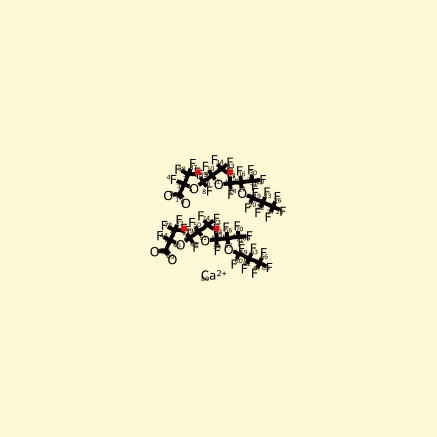 O=C([O-])C(F)(OC(F)(F)C(F)(OC(F)(F)C(F)(OC(F)(F)C(F)(F)C(F)(F)F)C(F)(F)F)C(F)(F)F)C(F)(F)F.O=C([O-])C(F)(OC(F)(F)C(F)(OC(F)(F)C(F)(OC(F)(F)C(F)(F)C(F)(F)F)C(F)(F)F)C(F)(F)F)C(F)(F)F.[Ca+2]